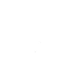 CC[Si](CO)(OC(C)C)OC(C)C